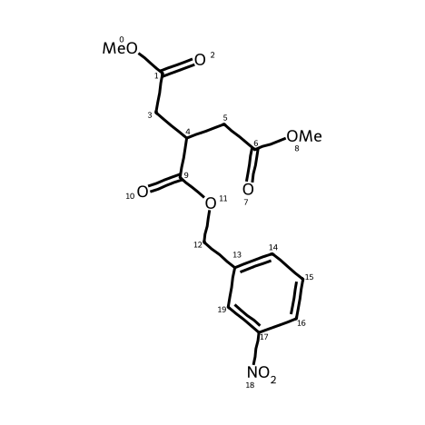 COC(=O)CC(CC(=O)OC)C(=O)OCc1cccc([N+](=O)[O-])c1